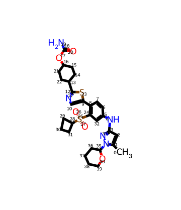 Cc1cc(Nc2ccc(-c3cnc(C4CCC(OC(N)=O)CC4)s3)c(S(=O)(=O)C3CCC3)c2)nn1C1CCCCO1